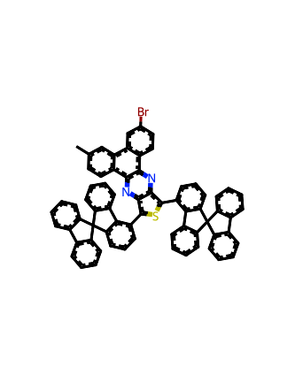 Cc1ccc2c(c1)c1cc(Br)ccc1c1nc3c(-c4cccc5c4-c4ccccc4C54c5ccccc5-c5ccccc54)sc(-c4cccc5c4-c4ccccc4C54c5ccccc5-c5ccccc54)c3nc21